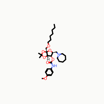 CCCCCCCOC[C@@]12O[C@@H](CN3CCCCCC3)[C@@H](OC(=O)Nc3ccc(OC)cc3)[C@@H]1OC(C)(C)O2